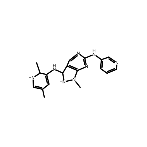 CC1=CNC(C)C(NC2NN(C)c3nc(Nc4cccnc4)ncc32)=C1